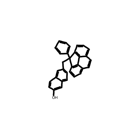 Oc1ccc2cc(CC3(c4ccccc4)c4cccc5ccc6cccc3c6c45)ccc2c1